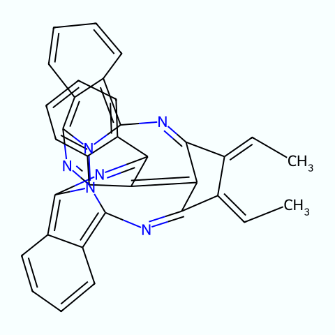 C/C=C1\C(=C/C)c2nc3c4ccccc4c4nc5c6c(nc7c8ccccc8c(nc1c26)n7n34)-c1ccccc1-5